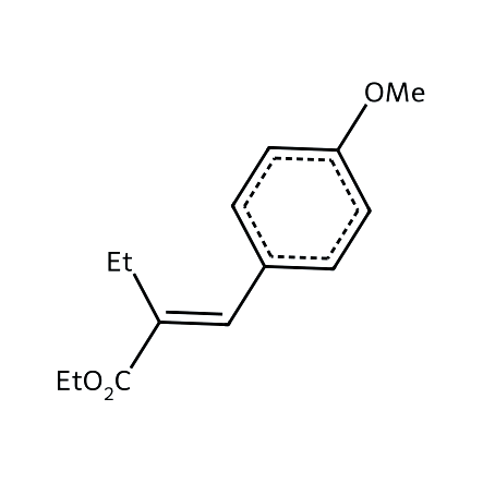 CCOC(=O)/C(=C/c1ccc(OC)cc1)CC